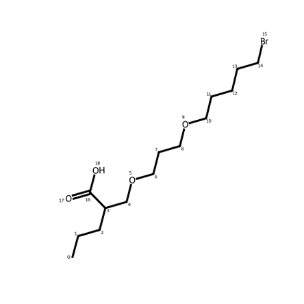 CCCC(COCCCOCCCCCBr)C(=O)O